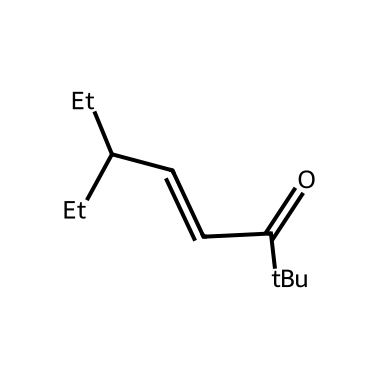 CCC(C=CC(=O)C(C)(C)C)CC